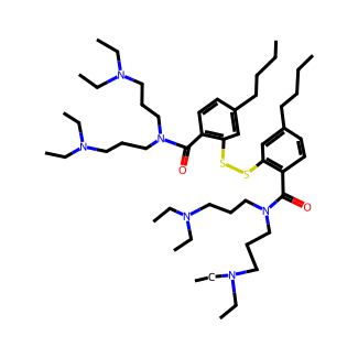 CCCCc1ccc(C(=O)N(CCCN(CC)CC)CCCN(CC)CC)c(SSc2cc(CCCC)ccc2C(=O)N(CCCN(CC)CC)CCCN(CC)CC)c1